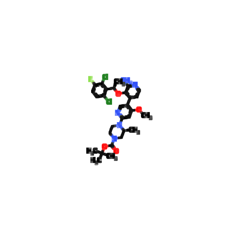 COc1cc(N2CCN(C(=O)OC(C)(C)C)C[C@@H]2C)ncc1-c1ccnc(N)c1O[C@H](C)c1c(Cl)ccc(F)c1Cl